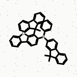 CC1(C)c2ccccc2-c2ccc(N(c3ccccc3)c3ccc4c(oc5ccccc54)c3C3(C)c4ccccc4-c4ccccc43)cc21